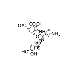 CC(=O)OCC1=C(C(=O)O)N2C(=O)C(NC(=O)/C(=N\OCS(=O)(=O)c3ccc(O)c(O)c3)c3csc(N)n3)C2SC1